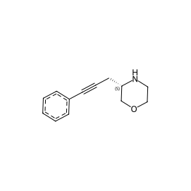 C(#Cc1ccccc1)C[C@H]1COCCN1